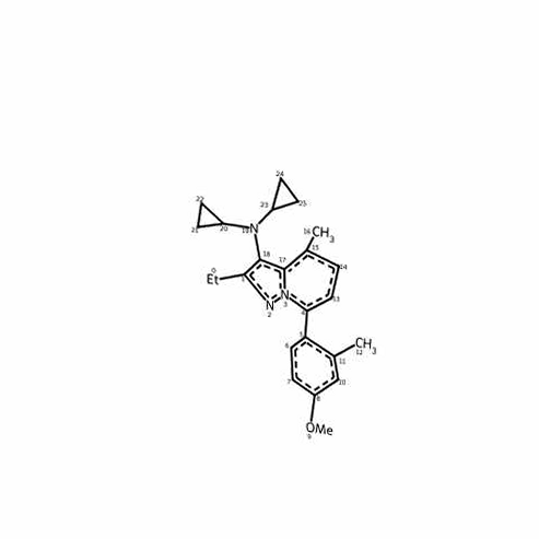 CCc1nn2c(-c3ccc(OC)cc3C)ccc(C)c2c1N(C1CC1)C1CC1